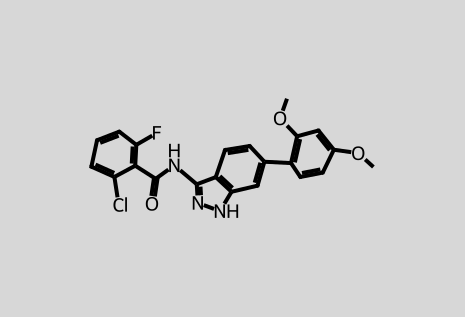 COc1ccc(-c2ccc3c(NC(=O)c4c(F)cccc4Cl)n[nH]c3c2)c(OC)c1